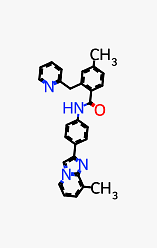 Cc1ccc(C(=O)Nc2ccc(-c3cn4cccc(C)c4n3)cc2)c(Cc2ccccn2)c1